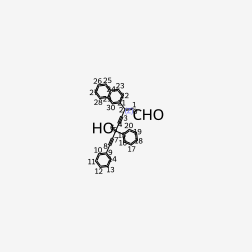 O=C/C=C(\C#CC(O)(C#Cc1ccccc1)c1ccccc1)c1ccc2ccccc2c1